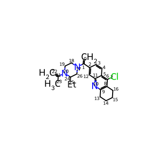 C=C(c1ccc2c(Cl)c3c(nc2c1)CCCC3)N1CCN(C(=C)C)C(CC)C1